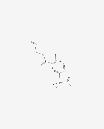 NC(=O)C1(c2ccc(Br)c(C(=O)CCC=O)n2)CC1